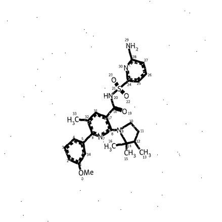 COc1cccc(-c2nc(N3CCC(C)C3(C)C)c(C(=O)NS(=O)(=O)c3cccc(N)n3)cc2C)c1